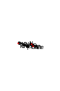 CCNCCOc1cc2nccc(Oc3ccc(NC(=O)C(=O)NCCc4ccccc4)cc3F)c2cc1OC